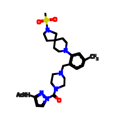 CC(=O)Nc1ccn(C(=O)N2CCN(Cc3ccc(C(F)(F)F)cc3N3CCC4(CC3)CCN(S(C)(=O)=O)C4)CC2)n1